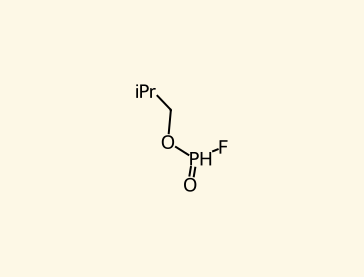 CC(C)CO[PH](=O)F